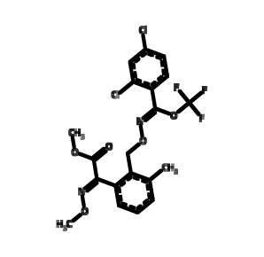 CO/N=C(/C(=O)OC)c1cccc(C)c1CO/N=C(\OC(F)(F)F)c1ccc(Cl)cc1Cl